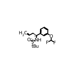 C=CC[C@H](N[S@@+]([O-])C(C)(C)C)c1cccc(OC(F)F)c1